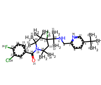 BC(B)(B)c1ccc(CNC(B)(B)C2(F)CC(B)(B)N(C(=O)c3ccc(F)c(Cl)c3)C(B)(B)C2(B)B)nc1